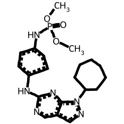 COP(=O)(Nc1ccc(Nc2ncc3cnn(C4CCCCCC4)c3n2)cc1)OC